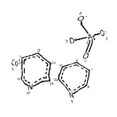 O=[As]([O-])([O-])[O-].[Co+3].c1ccncc1.c1ccncc1